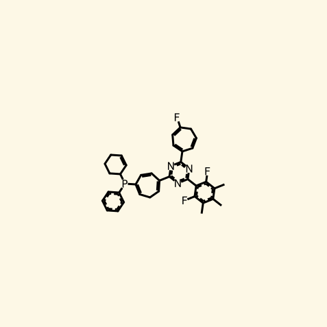 Cc1c(C)c(F)c(-c2nc(C3=CC=C(F)CC=C3)nc(C3=CCC=C(P(c4ccccc4)C4C=CCCC4)C=C3)n2)c(F)c1C